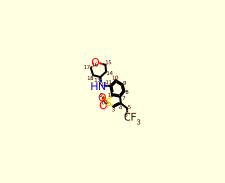 O=S1(=O)C=C(CC(F)(F)F)c2cccc(NC3CCOCC3)c21